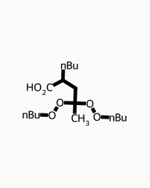 CCCCOOC(C)(CC(CCCC)C(=O)O)OOCCCC